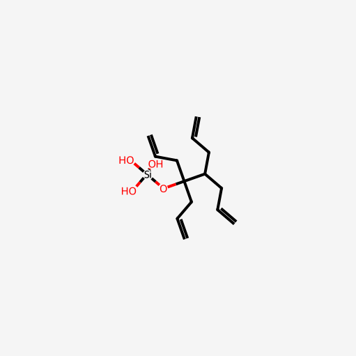 C=CCC(CC=C)C(CC=C)(CC=C)O[Si](O)(O)O